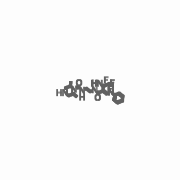 CC1CNCC(C)N1C(=O)NCCNC(=O)/C(=C/Nc1ccccc1)C(=N)C(F)(F)F